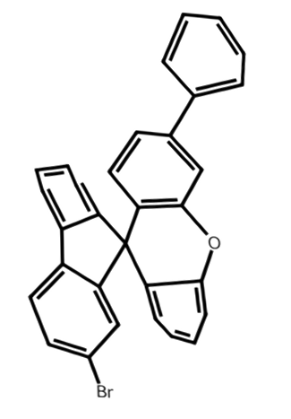 Brc1ccc2c(c1)C1(c3ccccc3Oc3cc(-c4ccccc4)ccc31)c1ccccc1-2